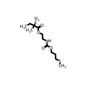 CCC(C)(C)C(=O)OCCNC(=O)OCCCSC